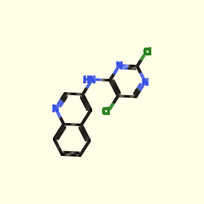 Clc1ncc(Cl)c(Nc2cnc3ccccc3c2)n1